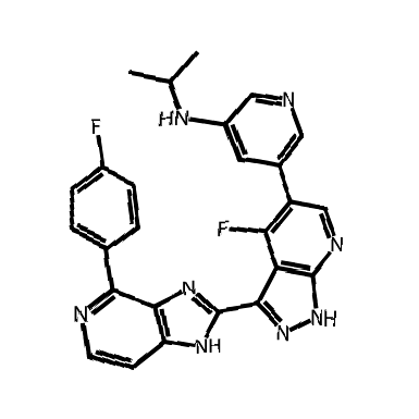 CC(C)Nc1cncc(-c2cnc3[nH]nc(-c4nc5c(-c6ccc(F)cc6)nccc5[nH]4)c3c2F)c1